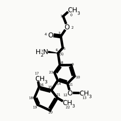 CCOC(=O)C[C@H](N)c1ccc(OC)c(-c2c(C)cccc2C)c1